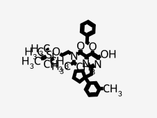 Cc1cccc(C2(Cc3nc(O)c(OCc4ccccc4)c(C(=O)N(CCO[Si](C)(C)C(C)(C)C)C(C)C)n3)CCCC2)c1